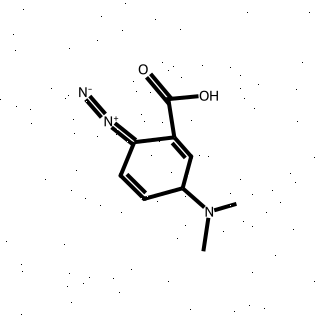 CN(C)C1C=CC(=[N+]=[N-])C(C(=O)O)=C1